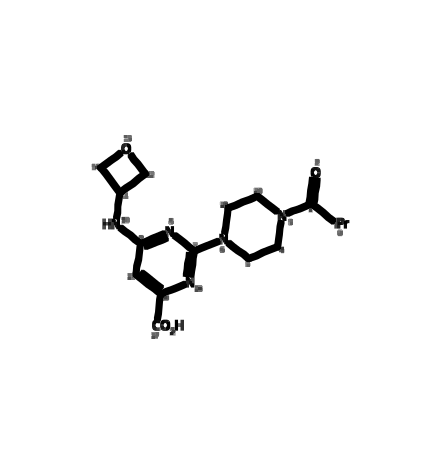 CC(C)C(=O)N1CCN(c2nc(NC3COC3)cc(C(=O)O)n2)CC1